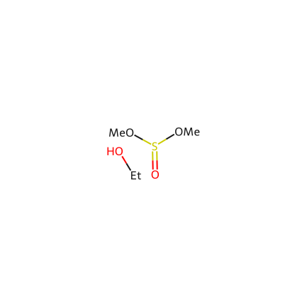 CCO.COS(=O)OC